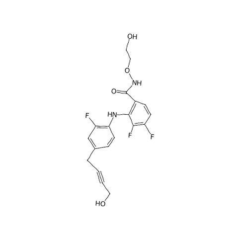 O=C(NOCCO)c1ccc(F)c(F)c1Nc1ccc(CC#CCO)cc1F